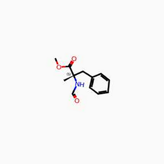 COC(=O)[C@](C)(Cc1ccccc1)NC=O